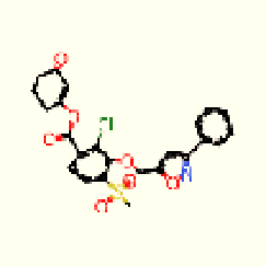 CS(=O)(=O)c1ccc(C(=O)OC2=CC(=O)CCC2)c(Cl)c1OCc1cc(-c2ccccc2)no1